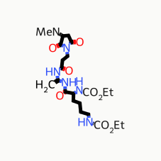 C=C(NC(=O)CCN1C(=O)CC(NC)C1=O)NC(=O)C(CCCCNC(=O)OCC)NC(=O)OCC